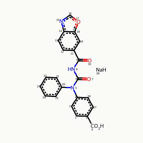 O=C(O)c1ccc(N(C(=O)NC(=O)c2ccc3ncoc3c2)c2ccccc2)cc1.[NaH]